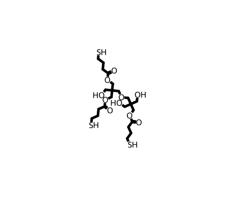 O=C(CCCS)OCC(CO)(CO)COCC(CO)(COC(=O)CCCS)COC(=O)CCCS